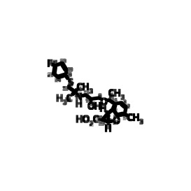 Cc1ccc([C@@H](C)OCC(O)CNC(C)(C)CSc2ccc(F)cc2)c2c1O[C@@H]1[C@@H](C(=O)O)[C@H]21